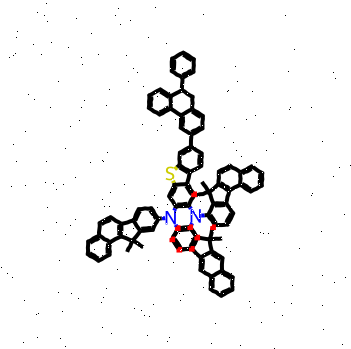 CC1(C)c2cc3ccccc3cc2-c2cccc(N(c3cc4c(cc3N(c3ccccc3)c3ccc5c(c3)C(C)(C)c3c-5ccc5ccccc35)sc3cc(-c5ccc6c(c5)-c5ccccc5C(c5ccccc5)C6)ccc34)c3cccc4c3C(C)(C)c3ccc5ccccc5c3-4)c21